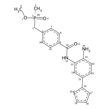 CO[P@@](C)(=O)Cc1ccc(C(=O)Nc2cc(-c3cccs3)ccc2N)cc1